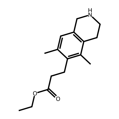 CCOC(=O)CCc1c(C)cc2c(c1C)CCNC2